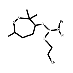 CC1CCC(OP(OCCC#N)N(C(C)C)C(C)C)C(C)(C)SS1